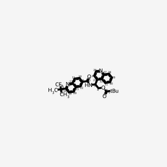 CC(C)(C)C(=O)OCC(NC(=O)c1ccc2nc(C(C)(C)C(F)(F)F)ccc2c1)c1ccnc2ccccc12